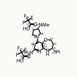 CN[C@@H]1CCN(c2nc(N)nc3c2OCC[C@@H](C(C)C)N3)C1.O=C(O)C(F)(F)F.O=C(O)C(F)(F)F